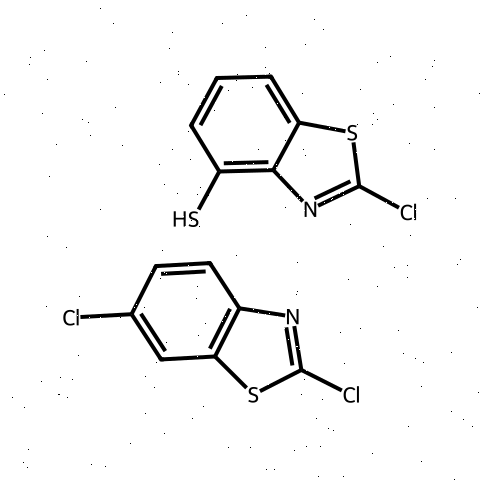 Clc1ccc2nc(Cl)sc2c1.Sc1cccc2sc(Cl)nc12